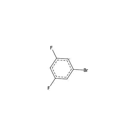 Fc1[c]c(Br)cc(F)c1